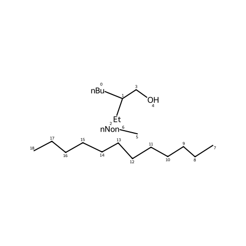 CCCCC(CC)CO.CCCCCCCCCC.CCCCCCCCCCCC